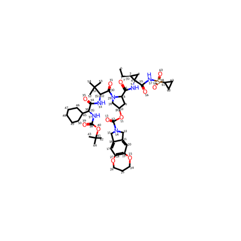 CC[C@H]1C[C@@]1(NC(=O)C1C[C@@H](OC(=O)N2Cc3cc4c(cc3C2)OCCCO4)CN1C(=O)[C@@H](NC(=O)[C@@H](NC(=O)OC(C)(C)C)C1CCCCC1)C(C)(C)C)C(=O)NS(=O)(=O)C1CC1